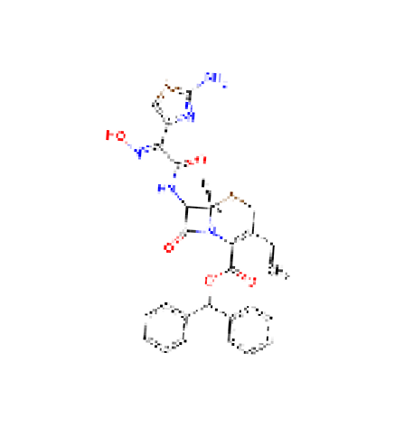 C=CC1=C(C(=O)OC(c2ccccc2)c2ccccc2)N2C(=O)C(NC(=O)C(=NO)c3csc(N)n3)[C@@H]2SC1